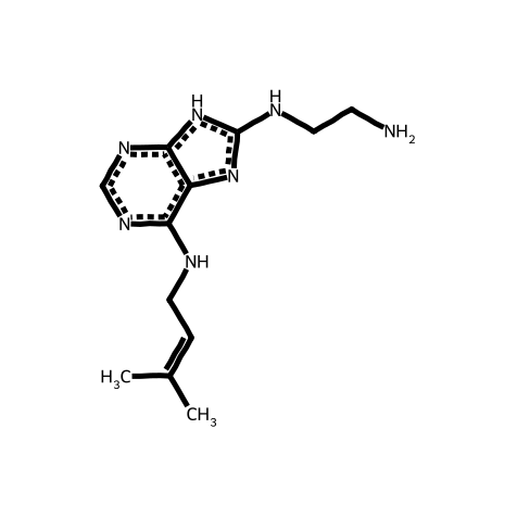 CC(C)=CCNc1ncnc2[nH]c(NCCN)nc12